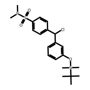 CN(C)S(=O)(=O)c1ccc(C(Cl)c2cccc(O[Si](C)(C)C(C)(C)C)c2)cc1